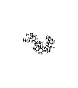 CC(NC(=O)c1cc2cc(C[C@@H](C)NC[C@H](O)c3ccc(O)c(CO)c3)ccc2[nH]1)c1cccc(OC(F)(F)F)c1